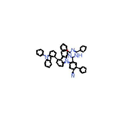 N#Cc1cc(-n2c3ccccc3c3c(-c4cccc5c4c4ccccc4n5-c4ccccc4)cccc32)c(C2N=C(c3ccccc3)N=C(c3ccccc3)N2)cc1-c1ccccc1